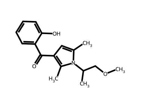 COCC(C)n1c(C)cc(C(=O)c2ccccc2O)c1C